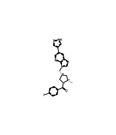 C[C@H]1C[C@@H](Cn2ccc3cc(-c4cn[nH]c4)cnc32)CN1C(=O)c1ccc(F)cc1